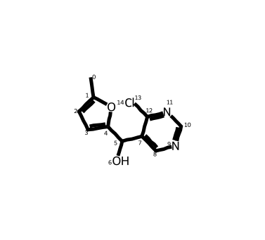 Cc1ccc(C(O)c2cncnc2Cl)o1